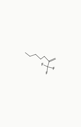 C=C(CCCCC)C(F)(F)F